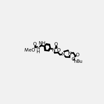 CCCCOC(=O)CN1CCN(CC2CN(c3ccc(C(=N)NC(=O)OC)cc3)C(=O)O2)CC1